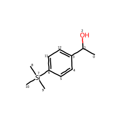 CC(O)c1ccc([Si](C)(C)C)cc1